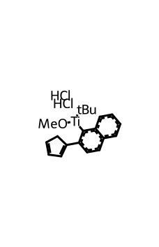 C[O][Ti]([c]1c(C2=CC=CC2)ccc2ccccc12)[C](C)(C)C.Cl.Cl